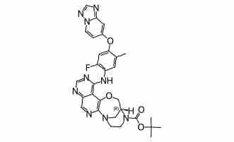 Cc1cc(Nc2ncnc3cnc4c(c23)OC[C@H]2CN4CCN2C(=O)OC(C)(C)C)c(F)cc1Oc1ccn2ncnc2c1